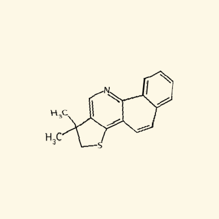 CC1(C)CSc2c1cnc1c2ccc2ccccc21